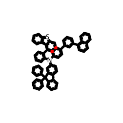 c1ccc(C2(c3ccccc3)c3ccccc3-c3ccc(N(c4ccc(-c5cccc(-c6cccc7ccccc67)c5)cc4)c4ccccc4-c4cccc5sc6ccccc6c45)cc32)cc1